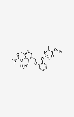 Cc1ncc(COc2ccccc2O[P+]([O-])=N[C@@H](C)C(=O)OC(C)C)c(CN)c1OC(=O)N(C)C